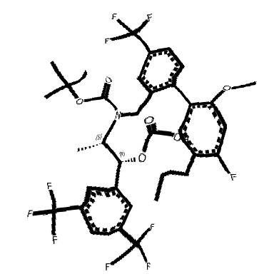 CCCc1cc(-c2ccc(C(F)(F)F)cc2CN(C(=O)OC(C)(C)C)[C@@H](C)[C@H](OC(=O)O)c2cc(C(F)(F)F)cc(C(F)(F)F)c2)c(OC)cc1F